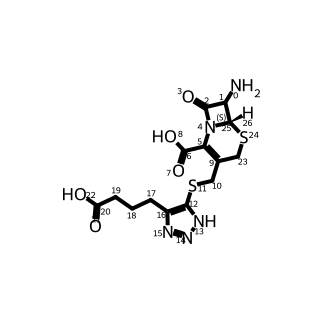 NC1C(=O)N2C(C(=O)O)=C(CSc3[nH]nnc3CCCC(=O)O)CS[C@@H]12